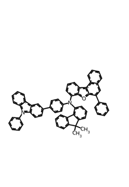 CC1(C)c2ccccc2-c2c(N(c3ccc(-c4ccc5c(c4)c4ccccc4n5-c4ccccc4)cc3)c3cccc4c3oc3c(-c5ccccc5)cc5ccccc5c34)cccc21